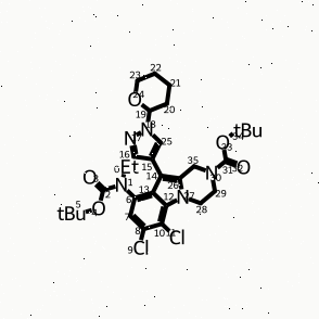 CCN(C(=O)OC(C)(C)C)c1cc(Cl)c(Cl)c2c1c(-c1cnn(C3CCCCO3)c1)c1n2CCN(C(=O)OC(C)(C)C)C1